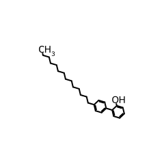 CCCCCCCCCCCCCCc1ccc(-c2ccccc2O)cc1